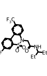 CCC(CC)NC(=O)CN1c2ccc(C(F)(F)F)cc2-c2ccc(F)cc2S1(=O)=O